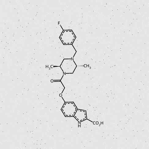 C[C@@H]1CN(C(=O)COc2ccc3[nH]c(C(=O)O)cc3c2)[C@@H](C)CN1Cc1ccc(F)cc1